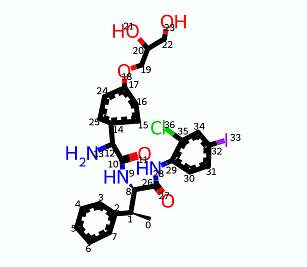 C[C@@H](c1ccccc1)[C@H](NC(=O)C(N)c1ccc(OCC(O)CO)cc1)C(=O)Nc1ccc(I)cc1Cl